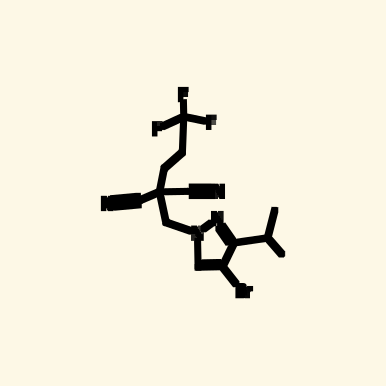 CC(C)c1nn(CC(C#N)(C#N)CCC(F)(F)F)cc1Br